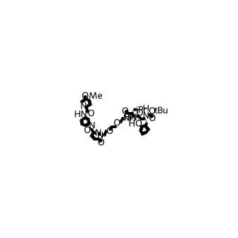 COc1ccc(C(=O)Nc2ccc3oc(-c4ccc(=O)n(CCOCCOCCNC(=O)[C@H](CC(C)C)NC(=O)[C@@H](O)[C@@H](Cc5ccccc5)NC(=O)OC(C)(C)C)n4)nc3c2)nc1